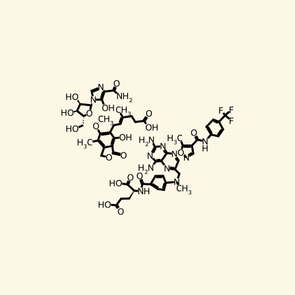 CN(Cc1cnc2nc(N)nc(N)c2n1)c1ccc(C(=O)N[C@@H](CCC(=O)O)C(=O)O)cc1.COc1c(C)c2c(c(O)c1C/C=C(\C)CCC(=O)O)C(=O)OC2.Cc1oncc1C(=O)Nc1ccc(C(F)(F)F)cc1.NC(=O)c1ncn([C@@H]2O[C@H](CO)[C@@H](O)[C@H]2O)c1O